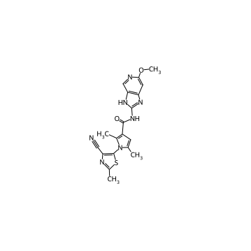 COc1cc2nc(NC(=O)c3cc(C)n(-c4sc(C)nc4C#N)c3C)[nH]c2cn1